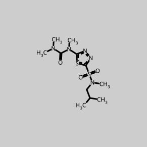 CC(C)CN(C)S(=O)(=O)c1nnc(N(C)C(=O)N(C)C)s1